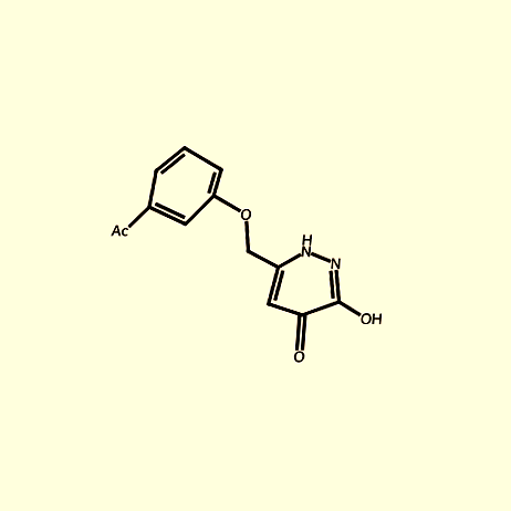 CC(=O)c1cccc(OCc2cc(=O)c(O)n[nH]2)c1